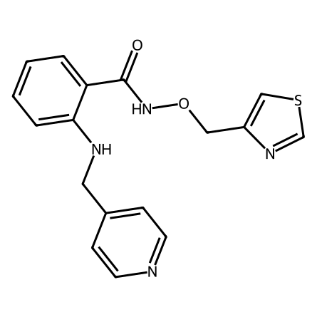 O=C(NOCc1cscn1)c1ccccc1NCc1ccncc1